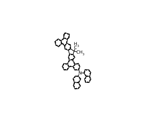 CC1(C)c2cc3c4ccccc4c4ccccc4c3cc2-c2cc3c4ccccc4c4cc(N(c5ccc6ccccc6c5)c5cccc6ccccc56)ccc4c3cc21